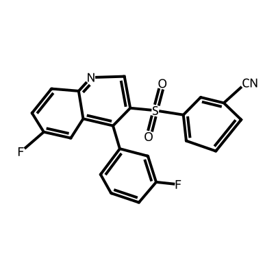 N#Cc1cccc(S(=O)(=O)c2cnc3ccc(F)cc3c2-c2cccc(F)c2)c1